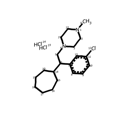 CN1CCN(CC(c2cccc(Cl)c2)C2CCCCCC2)CC1.Cl.Cl